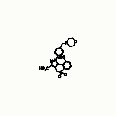 COc1cccc2c1-c1c(c(C(=O)O)nn1-c1ccc(CN3CCOCC3)cc1)CS2(=O)=O